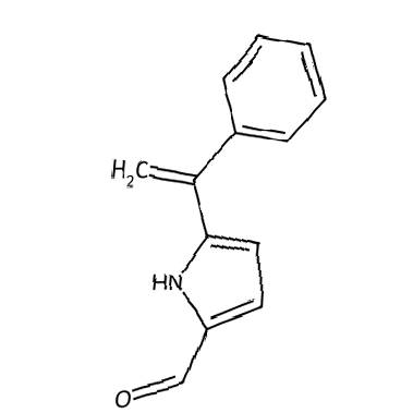 C=C(c1ccccc1)c1ccc(C=O)[nH]1